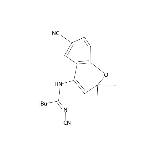 CCC(C)C(=NC#N)NC1=CC(C)(C)Oc2ccc(C#N)cc21